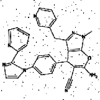 Cn1nc(Cc2cccnc2)c2c1OC(N)=C(C#N)C2c1ccc(-n2ccnc2-c2ccccn2)cc1